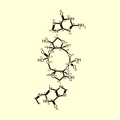 C/C=N\c1nc2c(ncn2[C@@H]2O[C@@H]3COP(=O)(O)O[C@@H]4C(O)[C@H](n5cnc6c(=O)[nH]c(N)nc65)O[C@@H]4COP(=O)(O)O[C@@H]3C2O)c(=O)[nH]1